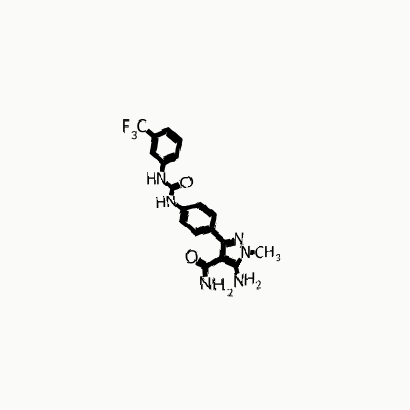 Cn1nc(-c2ccc(NC(=O)Nc3cccc(C(F)(F)F)c3)cc2)c(C(N)=O)c1N